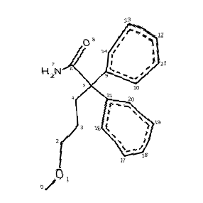 COCCCC(C(N)=O)(c1ccccc1)c1ccccc1